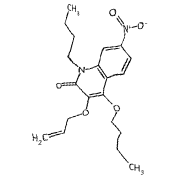 C=CCOc1c(OCCCC)c2ccc([N+](=O)[O-])cc2n(CCCC)c1=O